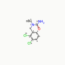 CCCCN(Cc1cccc(Cl)c1Cl)C(N)=O